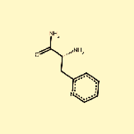 NC(=O)[C@H](N)Cc1ccccn1